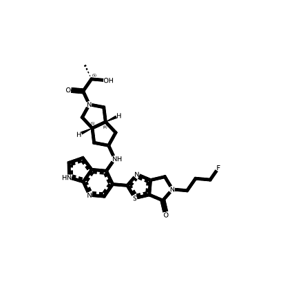 C[C@H](O)C(=O)N1C[C@H]2CC(Nc3c(-c4nc5c(s4)C(=O)N(CCCF)C5)cnc4[nH]ccc34)C[C@H]2C1